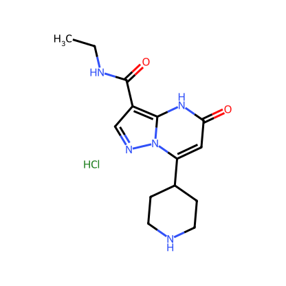 CCNC(=O)c1cnn2c(C3CCNCC3)cc(=O)[nH]c12.Cl